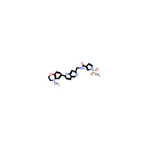 CN1CCOc2ccc(-c3ccc4cnc(CNC(=O)c5ccn(S(C)(=O)=O)c5)cc4n3)cc21